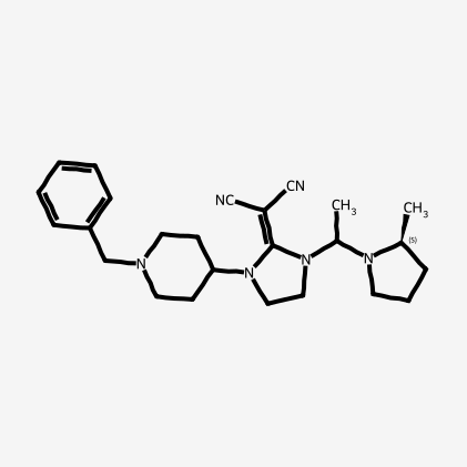 CC(N1CCN(C2CCN(Cc3ccccc3)CC2)C1=C(C#N)C#N)N1CCC[C@@H]1C